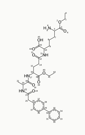 CCOC(=O)C(N)CCCC(NC(=O)CCC(NC(=O)C(C)NC(=O)Cc1ccc(-c2ccccc2)cc1)C(=O)OCC)C(=O)O